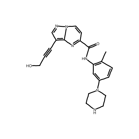 Cc1ccc(N2CCNCC2)cc1NC(=O)c1ccn2ncc(C#CCO)c2n1